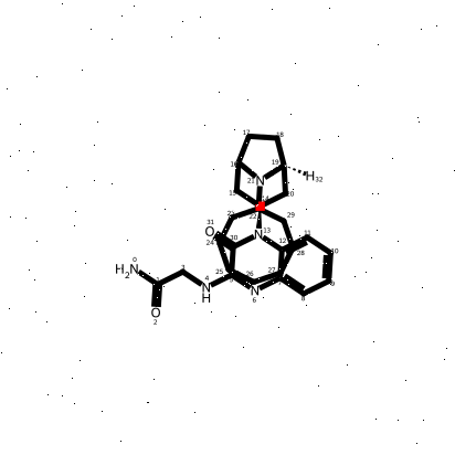 NC(=O)CNc1nc2ccccc2n([C@H]2CC3CC[C@@H](C2)N3C2CCCCCCC2)c1=O